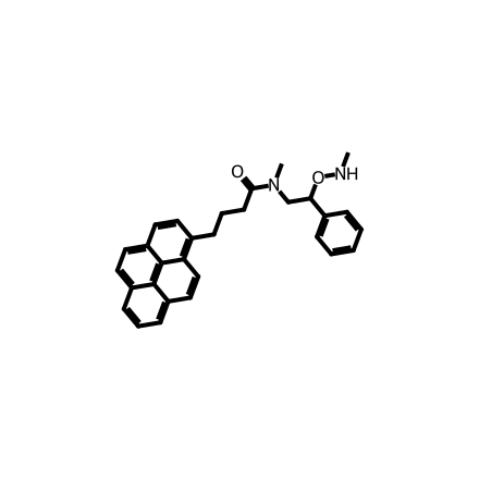 CNOC(CN(C)C(=O)CCCc1ccc2ccc3cccc4ccc1c2c34)c1ccccc1